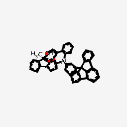 CC1(C)c2ccccc2-c2ccc(N(c3cccc(C45c6ccccc6-c6cccc(c64)-c4ccccc45)c3)c3ccccc3-c3ccccc3)cc21